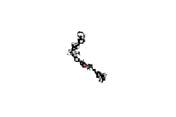 COc1ccc(COc2c(F)cc(C(=O)NCC3CCC(n4cc5ccc(N6CCN(CCCCC7CCN(C(=O)OC(C)(C)C)CC7)CC6)cc5n4)CC3)c(F)c2F)cc1